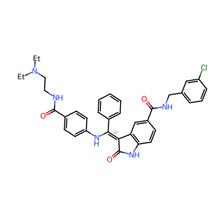 CCN(CC)CCNC(=O)c1ccc(N/C(=C2\C(=O)Nc3ccc(C(=O)NCc4cccc(Cl)c4)cc32)c2ccccc2)cc1